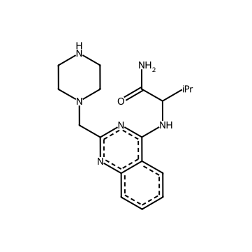 CC(C)C(Nc1nc(CN2CCNCC2)nc2ccccc12)C(N)=O